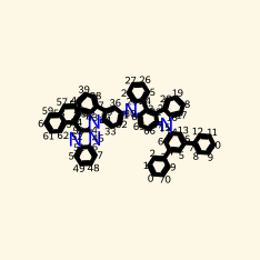 c1ccc(-c2cc(-c3ccccc3)cc(-n3c4ccccc4c4c5c6ccccc6n(-c6ccc7c(c6)c6ccccc6n7-c6nc7ccccc7nc6-c6cccc7ccccc67)c5ccc43)c2)cc1